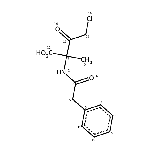 CC(NC(=O)Cc1ccccc1)(C(=O)O)C(=O)CCl